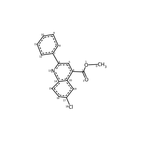 COC(=O)c1cc(-c2ccccc2)nc2ccc(Cl)cc12